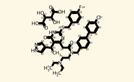 CCN(CC)CCN(Cc1ccc(-c2ccc(Cl)cc2)cc1)C(=O)Cc1nc(SCc2ccc(F)cc2)[nH]c(=O)c1C(C)c1cn[nH]c1.O=C(O)C(O)C(O)C(=O)O